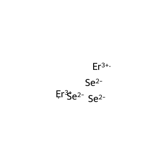 [Er+3].[Er+3].[Se-2].[Se-2].[Se-2]